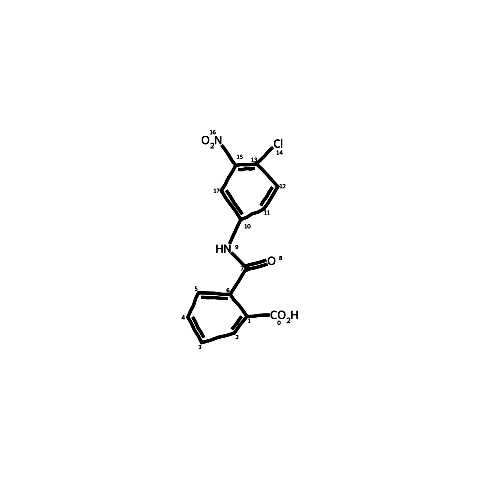 O=C(O)c1ccccc1C(=O)Nc1ccc(Cl)c([N+](=O)[O-])c1